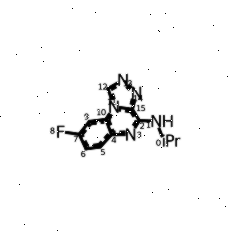 CC(C)Nc1nc2ccc(F)cc2n2cnnc12